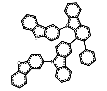 c1ccc(-c2ccc3c4ccccc4n(-c4ccc5sc6ccccc6c5c4)c3c2-c2ccc3c(c2)c2ccccc2n3-c2ccc3oc4ccccc4c3c2)cc1